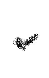 O=Cc1ccc2nc(N3CC4CC3CC4OCc3c(-c4c(Cl)cccc4Cl)noc3C3CC3)sc2c1